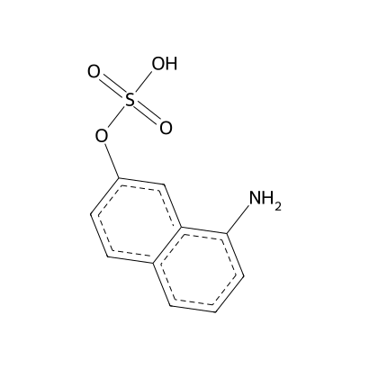 Nc1cccc2ccc(OS(=O)(=O)O)cc12